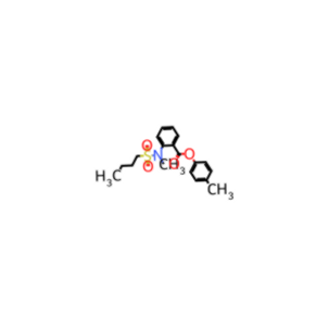 CCCCS(=O)(=O)N(C)c1ccccc1C(=O)Oc1ccc(C)cc1